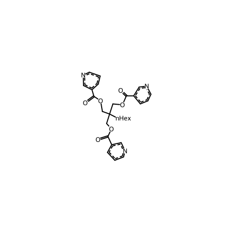 CCCCCCC(COC(=O)c1cccnc1)(COC(=O)c1cccnc1)COC(=O)c1cccnc1